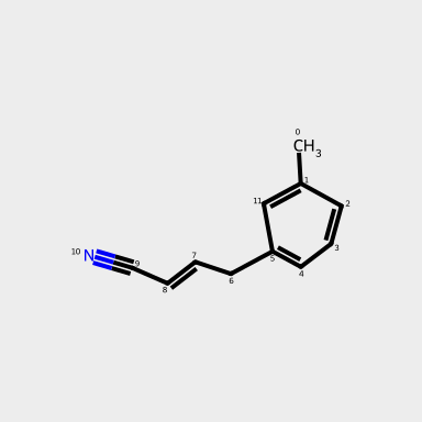 Cc1cccc(C/C=C/C#N)c1